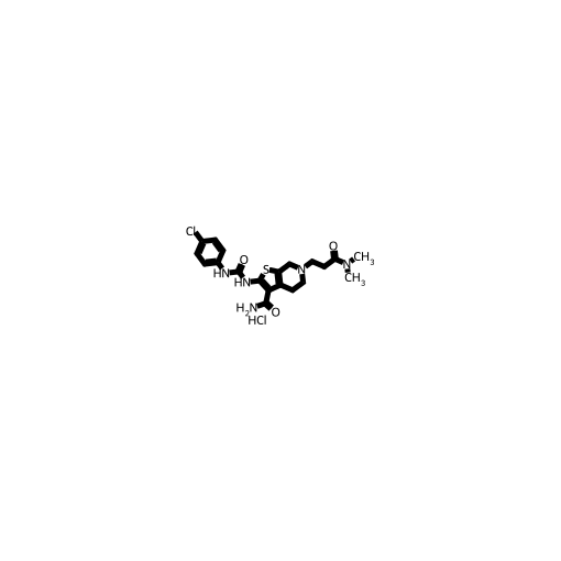 CN(C)C(=O)CCN1CCc2c(sc(NC(=O)Nc3ccc(Cl)cc3)c2C(N)=O)C1.Cl